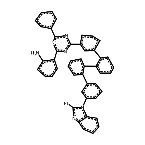 CCc1nc2ccccc2n1-c1cccc(-c2ccccc2-c2ccccc2-c2cccc(-c3nc(-c4ccccc4)nc(-c4ccccc4N)n3)c2)c1